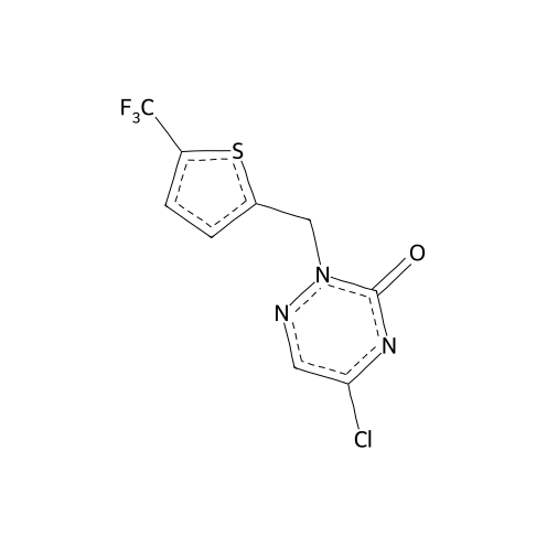 O=c1nc(Cl)cnn1Cc1ccc(C(F)(F)F)s1